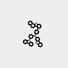 c1cc(N(c2ccc(-c3cccc4oc5c6ccccc6ccc5c34)cc2)c2ccc3c(c2)oc2ccccc23)cc(-n2c3ccccc3c3ccccc32)c1